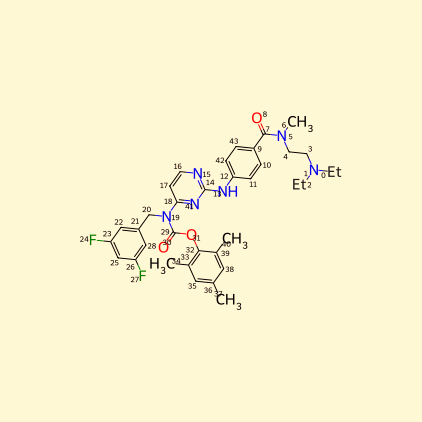 CCN(CC)CCN(C)C(=O)c1ccc(Nc2nccc(N(Cc3cc(F)cc(F)c3)C(=O)Oc3c(C)cc(C)cc3C)n2)cc1